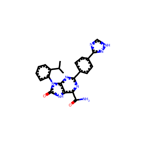 CC(C)c1ccccc1-n1c(=O)[nH]c2c(C(N)=O)nc(-c3ccc(-c4nc[nH]n4)cc3)nc21